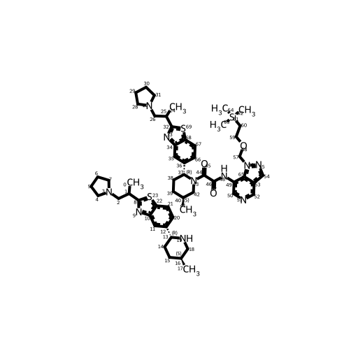 CC(CN1CCCC1)c1nc2cc([C@H]3CC[C@H](C)CN3)ccc2s1.CC(CN1CCCC1)c1nc2cc([C@H]3CC[C@H](C)CN3C(=O)C(=O)Nc3cncc4cnn(COCC[Si](C)(C)C)c34)ccc2s1